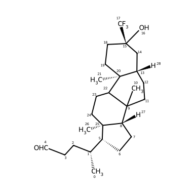 C[C@H](CCC=O)[C@H]1CC[C@H]2C3(C)CC[C@H]4C[C@](O)(C(F)(F)F)CC[C@]4(C)C3CC[C@]12C